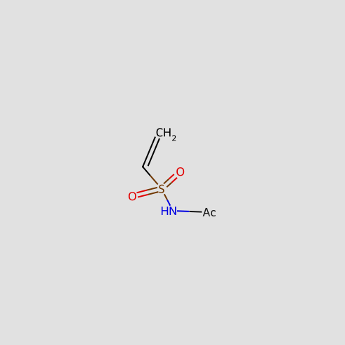 C=CS(=O)(=O)NC(C)=O